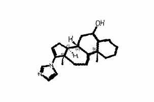 C[C@]12CCCCC1C(O)C[C@@H]1C2CC[C@]2(C)C(n3ccnc3)=CC[C@@H]12